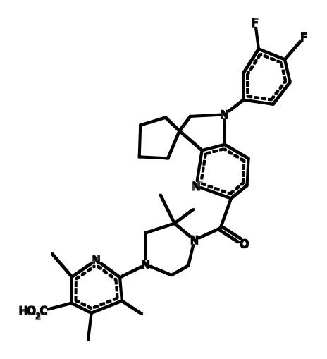 Cc1nc(N2CCN(C(=O)c3ccc4c(n3)C3(CCCC3)CN4c3ccc(F)c(F)c3)C(C)(C)C2)c(C)c(C)c1C(=O)O